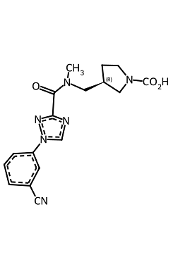 CN(C[C@H]1CCN(C(=O)O)C1)C(=O)c1ncn(-c2cccc(C#N)c2)n1